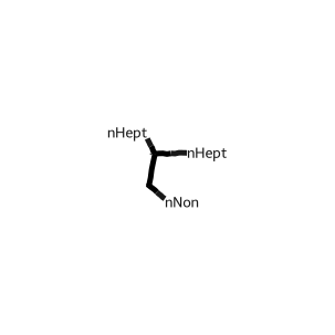 CCCCCCCCCC[C](CCCCCCC)CCCCCCC